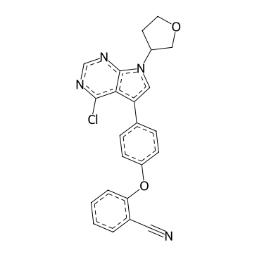 N#Cc1ccccc1Oc1ccc(-c2cn(C3CCOC3)c3ncnc(Cl)c23)cc1